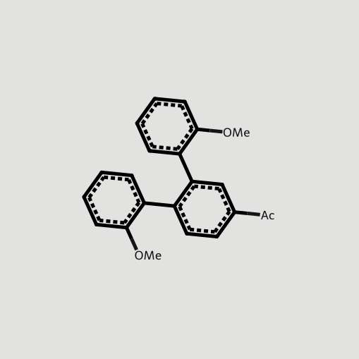 COc1ccccc1-c1ccc(C(C)=O)cc1-c1ccccc1OC